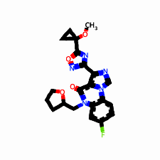 COC1(c2nc(-c3ncn4c3c(=O)n(CC3CCCO3)c3cc(F)ccc34)no2)CC1